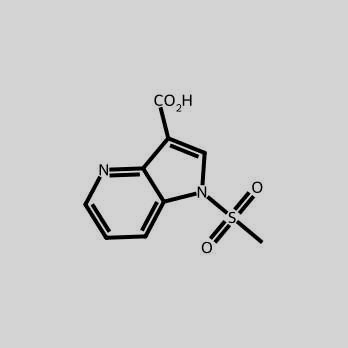 CS(=O)(=O)n1cc(C(=O)O)c2ncccc21